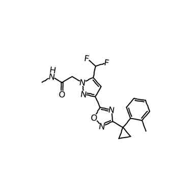 CNC(=O)Cn1nc(-c2nc(C3(c4ccccc4C)CC3)no2)cc1C(F)F